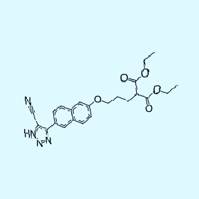 CCOC(=O)C(CCCOc1ccc2cc(-c3nn[nH]c3C#N)ccc2c1)C(=O)OCC